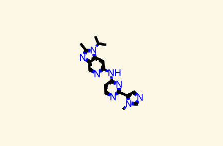 Cc1nc2cnc(Nc3ccnc(-c4cncn4C)n3)cc2n1C(C)C